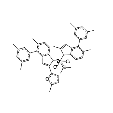 CC1=Cc2c(ccc(C)c2-c2cc(C)cc(C)c2)[CH]1[Zr]([Cl])([Cl])([CH]1C(c2ccc(C)o2)=Cc2c1ccc(C)c2-c1cc(C)cc(C)c1)=[Si](C)C